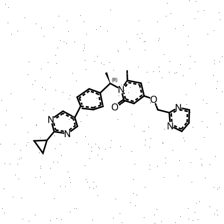 Cc1cc(OCc2ncccn2)cc(=O)n1[C@H](C)c1ccc(-c2cnc(C3CC3)nc2)cc1